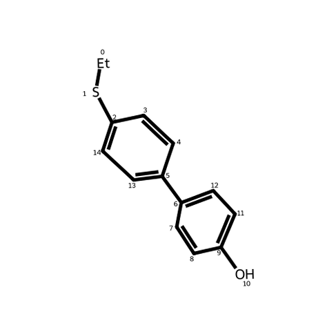 CCSc1ccc(-c2ccc(O)cc2)cc1